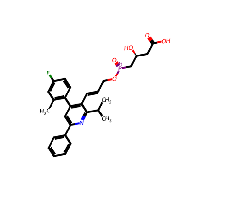 Cc1cc(F)ccc1-c1cc(-c2ccccc2)nc(C(C)C)c1/C=C/CO[PH](=O)C[C@@H](O)CC(=O)O